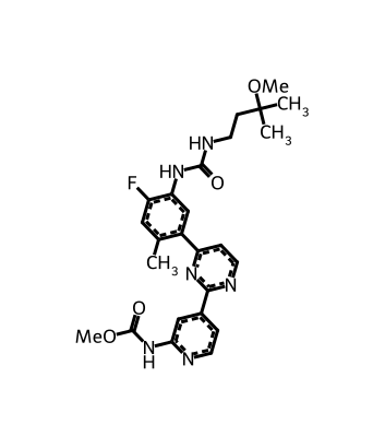 COC(=O)Nc1cc(-c2nccc(-c3cc(NC(=O)NCCC(C)(C)OC)c(F)cc3C)n2)ccn1